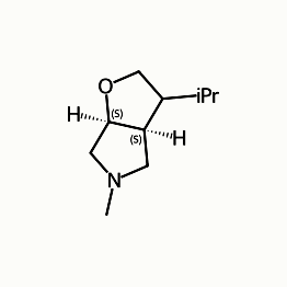 CC(C)C1CO[C@@H]2CN(C)C[C@H]12